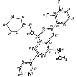 CNc1nc(-c2cccnc2)nc2c(OCC3CCCCC3)cc(-c3cccc(F)c3F)cc12